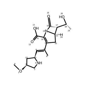 CO[C@@H]1CN[C@H](/C=C(\C)C2=C(C(=O)O)N3C(=O)[C@H]([C@@H](C)O)[C@H]3C2)C1